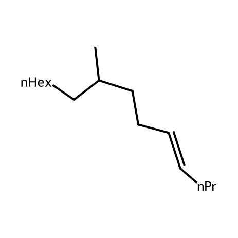 [CH2]CCC=CCCC(C)CCCCCC[CH2]